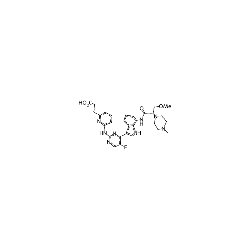 COCC(C(=O)Nc1cccc2c(-c3nc(Nc4cccc(CCC(=O)O)n4)ncc3F)c[nH]c12)N1CCN(C)CC1